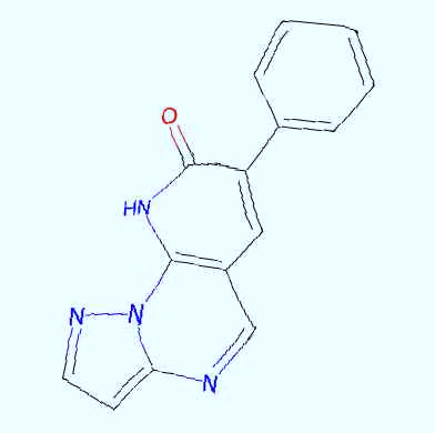 O=c1[nH]c2c(cnc3ccnn32)cc1-c1ccccc1